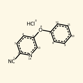 Cl.N#Cc1ccc(Oc2ccccc2)cn1